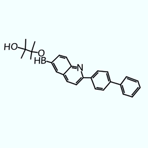 CC(C)(O)C(C)(C)OBc1ccc2nc(-c3ccc(-c4ccccc4)cc3)ccc2c1